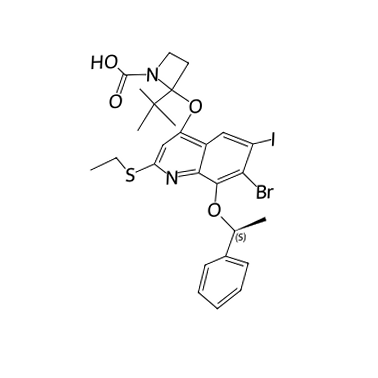 CCSc1cc(OC2(C(C)(C)C)CCN2C(=O)O)c2cc(I)c(Br)c(O[C@@H](C)c3ccccc3)c2n1